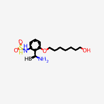 B=C(N)c1c(N[SH](=O)=O)cccc1OCCCCCCCO